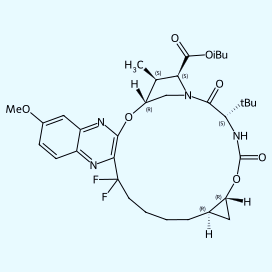 COc1ccc2nc3c(nc2c1)O[C@H]1CN(C(=O)[C@H](C(C)(C)C)NC(=O)O[C@@H]2C[C@H]2CCCCC3(F)F)[C@H](C(=O)OCC(C)C)[C@@H]1C